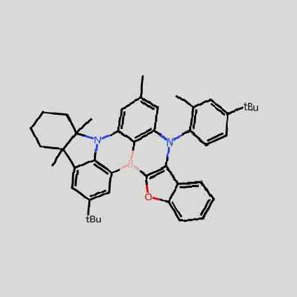 Cc1cc2c3c(c1)N1c4c(cc(C(C)(C)C)cc4C4(C)CCCCC14C)B3c1oc3ccccc3c1N2c1ccc(C(C)(C)C)cc1C